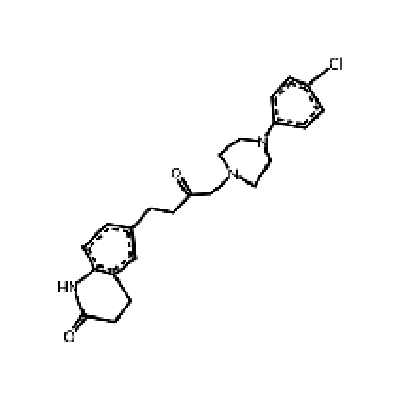 O=C(CCc1ccc2c(c1)CCC(=O)N2)CN1CCN(c2ccc(Cl)cc2)CC1